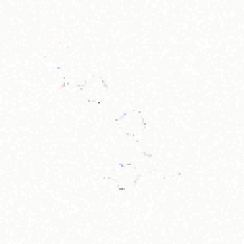 CCCn1cc(-c2ccnc(Nc3cccc(C(=O)N4CCOCC4)c3)n2)c2nc(Cl)cc(C)c21